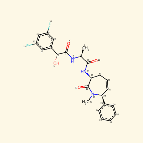 C[C@H](NC(=O)[C@H](O)c1cc(F)cc(F)c1)C(=O)N[C@H]1CC=C[C@@H](c2ccccc2)N(C)C1=O